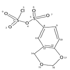 O=S(=O)(Cl)OS(=O)(=O)c1ccc2c(c1)COCO2